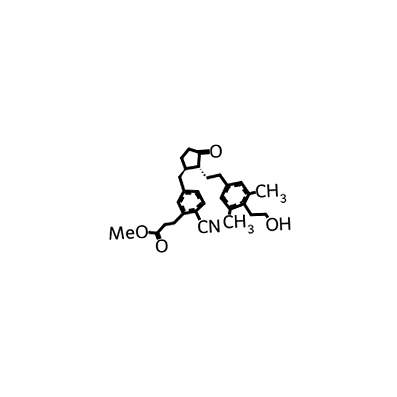 COC(=O)CCc1cc(C[C@H]2CCC(=O)[C@@H]2CCc2cc(C)c(CCO)c(C)c2)ccc1C#N